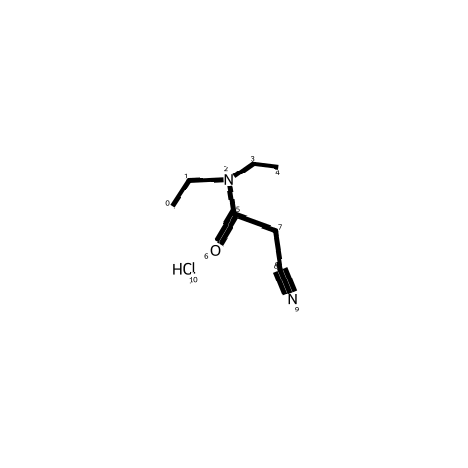 CCN(CC)C(=O)CC#N.Cl